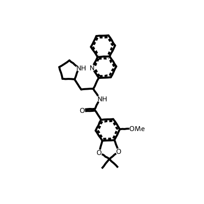 COc1cc(C(=O)NC(CC2CCCN2)c2ccc3ccccc3n2)cc2c1OC(C)(C)O2